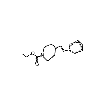 CCOC(=O)N1CCC(C=Cc2ccccc2)CC1